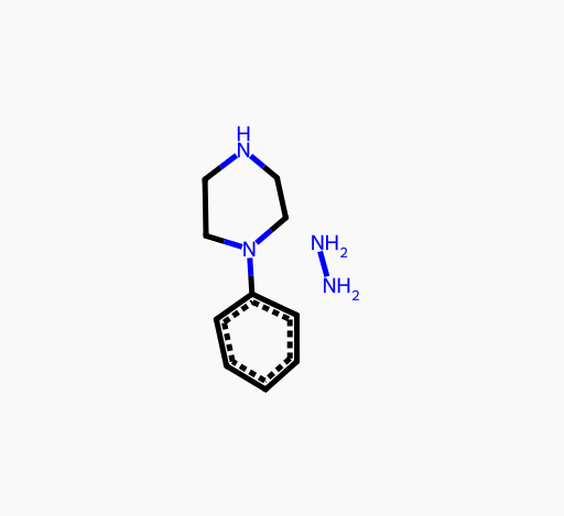 NN.c1ccc(N2CCNCC2)cc1